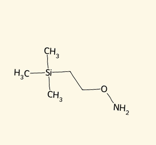 C[Si](C)(C)CCON